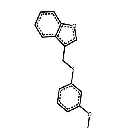 COc1cccc(SCc2coc3ccccc23)c1